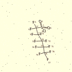 O=S(=O)(Cl)C(F)(F)C(F)(F)C(F)(F)C(F)(F)C(F)(F)F